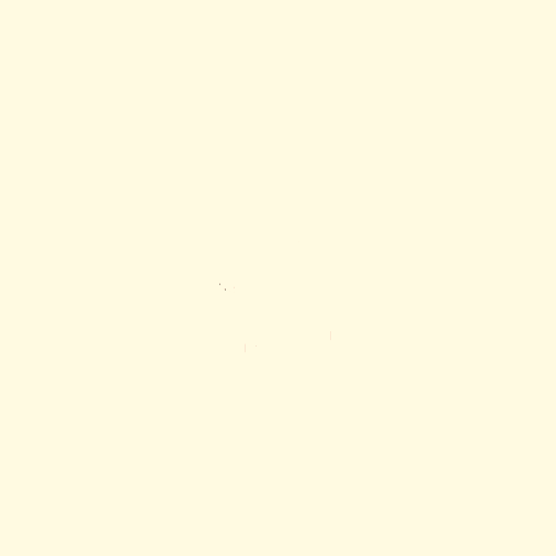 Fc1cc(F)c(S)cc1F.[Na]